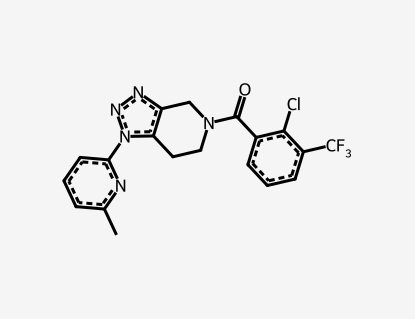 Cc1cccc(-n2nnc3c2CCN(C(=O)c2cccc(C(F)(F)F)c2Cl)C3)n1